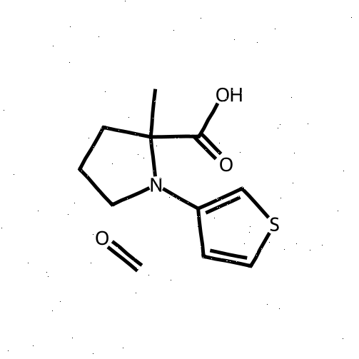 C=O.CC1(C(=O)O)CCCN1c1ccsc1